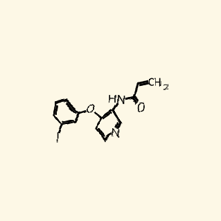 C=CC(=O)Nc1cnccc1Oc1cccc(I)c1